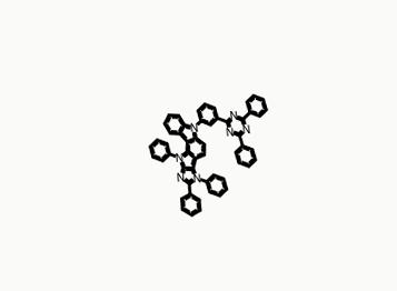 c1ccc(-c2nc(-c3ccccc3)nc(-c3cccc(-n4c5ccccc5c5c4ccc4c6c(nc(-c7ccccc7)n6-c6ccccc6)n(-c6ccccc6)c45)c3)n2)cc1